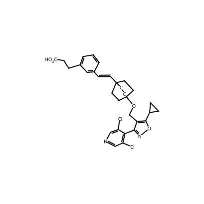 O=C(O)CCc1cccc(C=CC23CCC(OCc4c(-c5c(Cl)cncc5Cl)noc4C4CC4)(CC2)CC3)c1